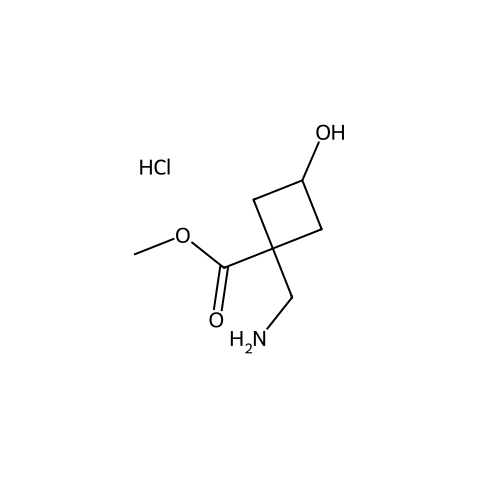 COC(=O)C1(CN)CC(O)C1.Cl